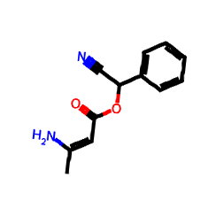 C/C(N)=C/C(=O)OC(C#N)c1ccccc1